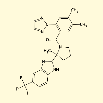 Cc1cc(C(=O)N2CCCC2(C)c2nc3cc(C(F)(F)F)ccc3[nH]2)c(-n2nccn2)cc1C